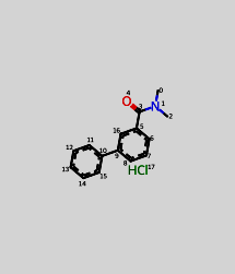 CN(C)C(=O)c1cccc(-c2ccccc2)c1.Cl